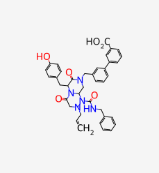 C=CCN1CC(=O)N2C(Cc3ccc(O)cc3)C(=O)N(Cc3cccc(-c4cccc(C(=O)O)c4)c3)CC2N1C(=O)NCc1ccccc1